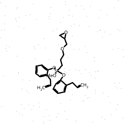 C=CCc1ccccc1O[Si](CCCOCC1CO1)(OC)Oc1ccccc1CC=C